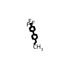 CCCC1C=CC(c2ccc(C(F)(F)F)cc2)=CC1